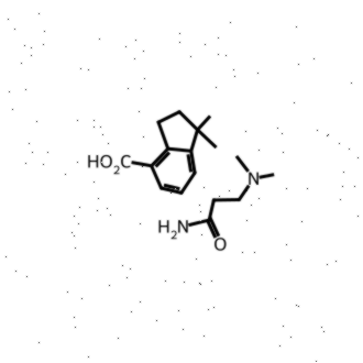 CC1(C)CCc2c(C(=O)O)cccc21.CN(C)CCC(N)=O